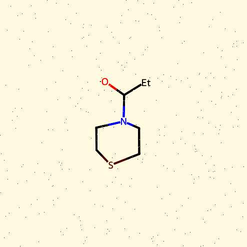 CCC([O])N1CCSCC1